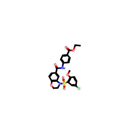 CCOC(=O)c1ccc(NC(=O)c2ccc3c(c2)N(S(=O)(=O)c2cc(Cl)ccc2OC)CCO3)cc1